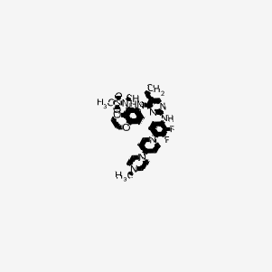 C=Cc1cnc(Nc2ccc(N3CCC(N4CCN(C)CC4)CC3)c(F)c2F)nc1Nc1ccc2c(c1N(C)S(C)(=O)=O)OCCO2